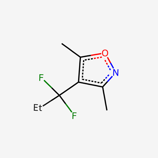 CCC(F)(F)c1c(C)noc1C